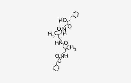 CC(CCNC(=O)OCc1ccccc1)CC(=O)NCCC(C)CC(=O)NCC(=O)C(O)CCc1ccccc1